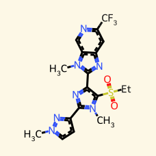 CCS(=O)(=O)c1c(-c2nc3cc(C(F)(F)F)ncc3n2C)nc(-c2ccn(C)n2)n1C